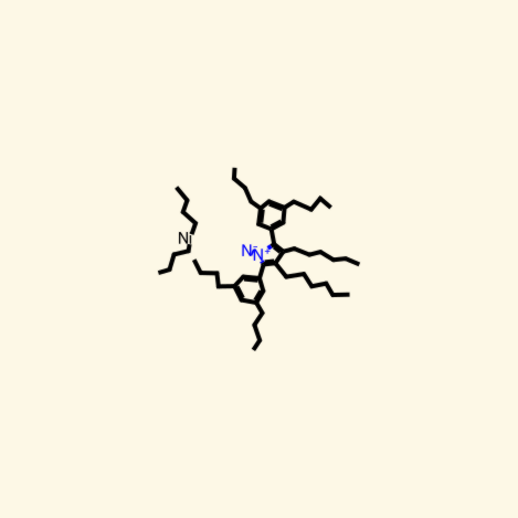 CCCCCCC1=C(c2cc(CCCC)cc(CCCC)c2)[N+](=[N-])C(c2cc(CCCC)cc(CCCC)c2)=C1CCCCCC.CCC[CH2][Ni][CH2]CCC